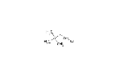 CC(C)(C)[CH2][Mg][Cl]